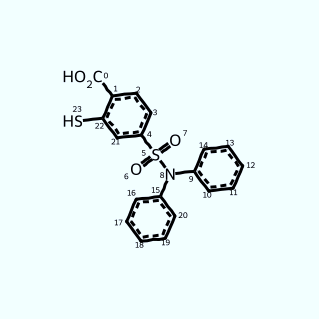 O=C(O)c1ccc(S(=O)(=O)N(c2ccccc2)c2ccccc2)cc1S